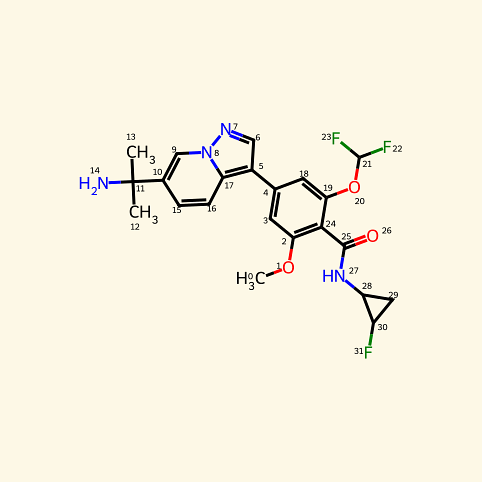 COc1cc(-c2cnn3cc(C(C)(C)N)ccc23)cc(OC(F)F)c1C(=O)NC1CC1F